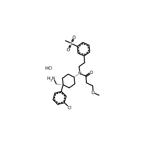 COCCC(=O)N(CCc1cccc(S(C)(=O)=O)c1)[C@H]1CC[C@](CN)(c2cccc(Cl)c2)CC1.Cl